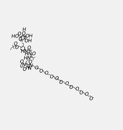 CCC(C)(C)C(=O)OCc1ccc(NC(=O)[C@H](C)NC(=O)[C@@H](NC(=O)C[C@@H](c2cn(CCOCCOCCOCCOCCOCCOCCOCCOCCOCCOCCOCCOC)nn2)N2C(=O)C=CC2=O)C(C)C)cc1CC[C@@H]1O[C@H](C(=O)O)[C@@H](O)[C@H](O)[C@H]1O